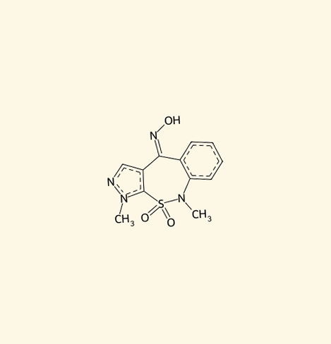 CN1c2ccccc2C(=NO)c2cnn(C)c2S1(=O)=O